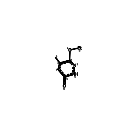 CCOc1n[nH]c(=O)cc1C